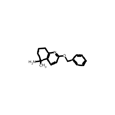 CC1(N)CCCc2nc(OCc3ccccc3)ccc21